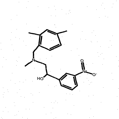 Cc1ccc(CN(C)CC(O)c2cccc([N+](=O)[O-])c2)c(C)c1